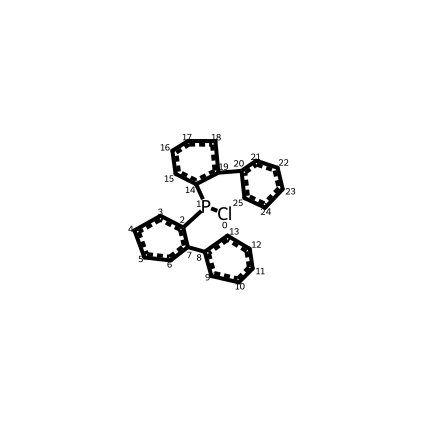 ClP(c1ccccc1-c1ccccc1)c1ccccc1-c1ccccc1